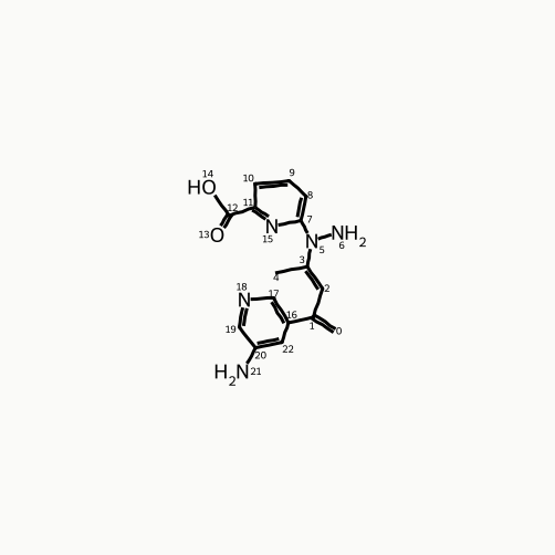 C=C(/C=C(\C)N(N)c1cccc(C(=O)O)n1)c1cncc(N)c1